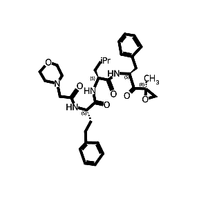 CC(C)C[C@H](NC(=O)[C@H](CCc1ccccc1)NC(=O)CN1CCOCC1)C(=O)N[C@@H](Cc1ccccc1)C(=O)[C@@]1(C)CO1